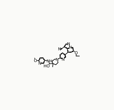 CCOc1cc(-c2ccc(N3CCC(C)(C(O)Nc4ccc(OC)nc4)CC3)nc2)c2c(C#N)cnn2c1